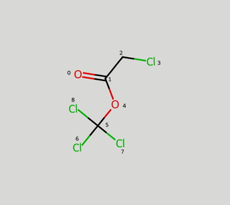 O=C(CCl)OC(Cl)(Cl)Cl